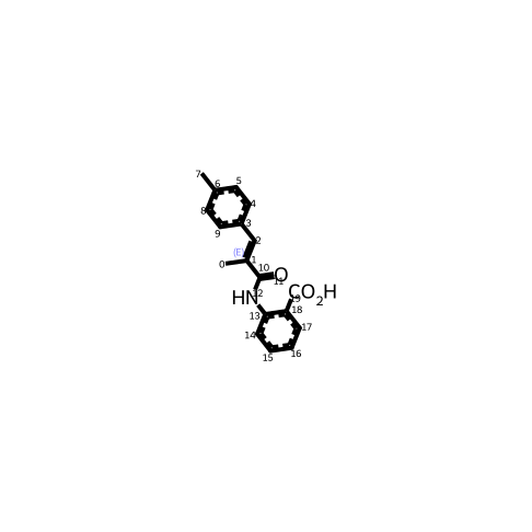 C/C(=C\c1ccc(C)cc1)C(=O)Nc1ccccc1C(=O)O